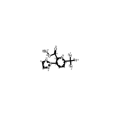 [2H]C([2H])([2H])c1ccc(-n2nccn2)c(C(=O)OC(C)(C)C)n1